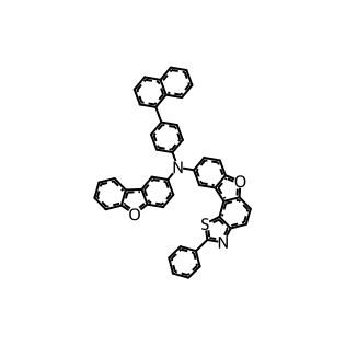 c1ccc(-c2nc3ccc4oc5ccc(N(c6ccc(-c7cccc8ccccc78)cc6)c6ccc7oc8ccccc8c7c6)cc5c4c3s2)cc1